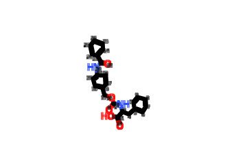 O=C(NC(Cc1ccccc1)C(=O)O)OCc1ccc(NC(=O)c2ccccc2)cc1